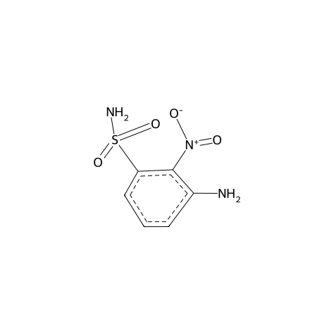 Nc1cccc(S(N)(=O)=O)c1[N+](=O)[O-]